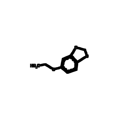 O=C(O)COc1ccc2c(c1)OCO2